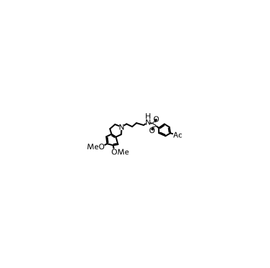 COc1cc2c(cc1OC)CN(CCCCNS(=O)(=O)c1ccc(C(C)=O)cc1)CC2